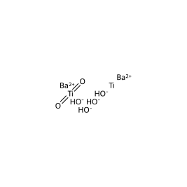 [Ba+2].[Ba+2].[OH-].[OH-].[OH-].[OH-].[O]=[Ti]=[O].[Ti]